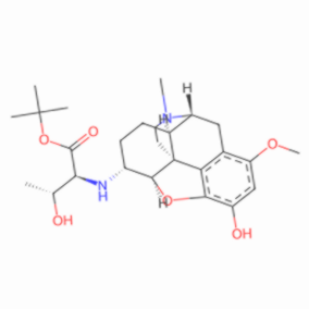 COc1cc(O)c2c3c1C[C@@H]1[C@@H]4CC[C@@H](N[C@H](C(=O)OC(C)(C)C)[C@@H](C)O)[C@H](O2)[C@]34CCN1C